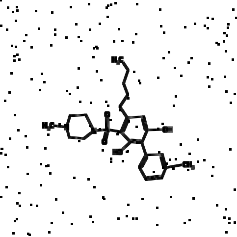 CCCCCc1cc(O)c(-c2cccc(C)c2)c(O)c1S(=O)(=O)N1CCN(C)CC1